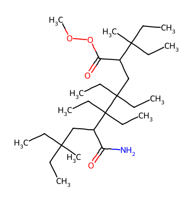 CCC(C)(CC)CC(C(N)=O)C(CC)(CC)C(CC)(CC)CC(C(=O)OOC)C(C)(CC)CC